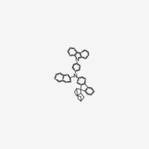 c1ccc2c(c1)-c1ccc(N(c3ccc(-n4c5ccccc5c5ccccc54)cc3)c3ccc4ccccc4c3)cc1C21C2CC3CC(C2)C1C3